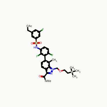 CNC(=O)c1nn(COCC[Si](C)(C)C)c2c(C)c(-c3c(F)ccc(NS(=O)(=O)c4cc(F)cc(COC(C)=O)c4)c3F)ccc12